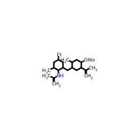 C=C(C)NC1C(C)CC(CC)CC1CC1CC(C(=C)C)C(OC)CC1C